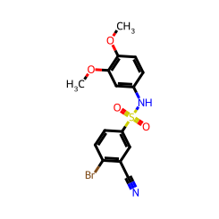 COc1ccc(NS(=O)(=O)c2ccc(Br)c(C#N)c2)cc1OC